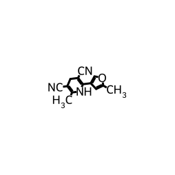 CC1=C(C#N)CC(C#N)=C(c2coc(C)c2)N1